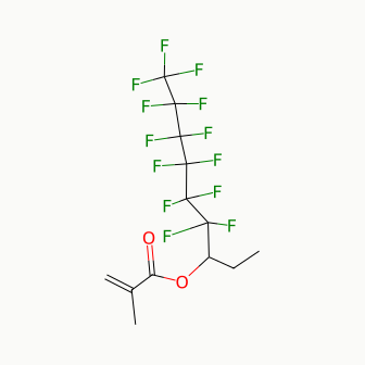 C=C(C)C(=O)OC(CC)C(F)(F)C(F)(F)C(F)(F)C(F)(F)C(F)(F)C(F)(F)F